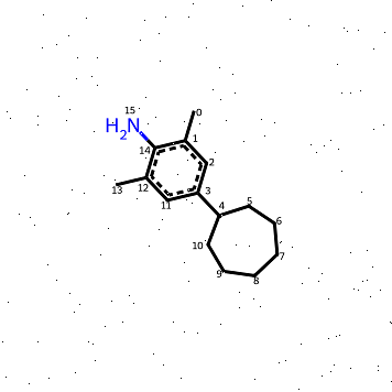 Cc1cc(C2CCCCCC2)cc(C)c1N